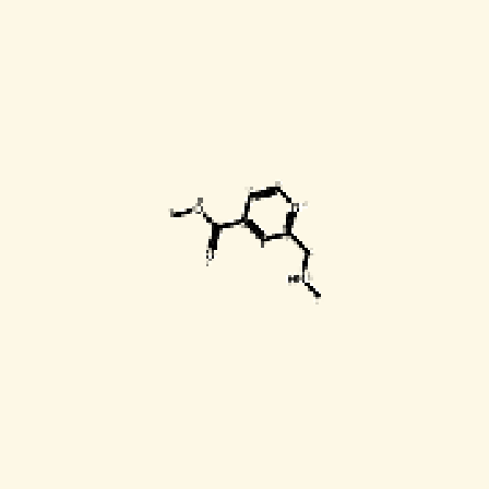 CNCc1cc(C(=O)OC)ccn1